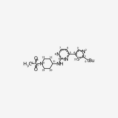 CC(C)(C)c1ncc(-c2ccnc(NC3CCN(S(C)(=O)=O)CC3)n2)s1